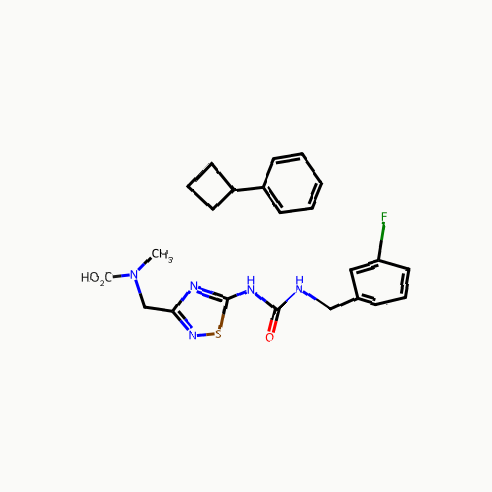 CN(Cc1nsc(NC(=O)NCc2cccc(F)c2)n1)C(=O)O.c1ccc(C2CCC2)cc1